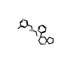 Cc1cncc(CNCC[C@@]2(c3ccccn3)CCOC3(CCCC3)C2)c1